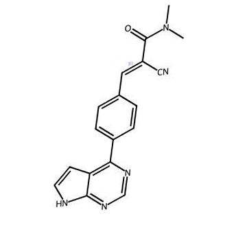 CN(C)C(=O)/C(C#N)=C/c1ccc(-c2ncnc3[nH]ccc23)cc1